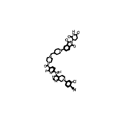 N#Cc1ccc(N2CCc3c(ncnc3Nc3ccc(C(=O)N4CCN(CC5CCN(c6ccc7c(c6)C(=O)N(C6CCC(=O)NC6=O)C7=O)CC5)CC4)c(F)n3)C2)cc1Cl